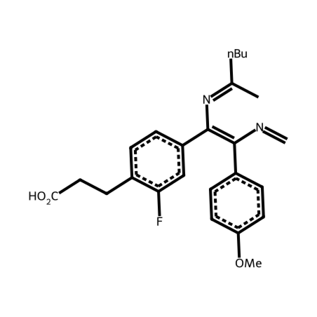 C=N/C(=C(\N=C(/C)CCCC)c1ccc(CCC(=O)O)c(F)c1)c1ccc(OC)cc1